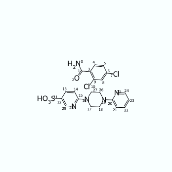 NC(=O)c1ccc(Cl)cc1Cl.O=S(=O)(O)c1ccc(N2CCN(c3ccccn3)CC2)nc1